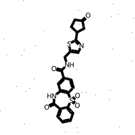 O=C1CCC(c2ncc(CNC(=O)c3ccc4c(c3)NC(=O)c3ccccc3S4(=O)=O)s2)C1